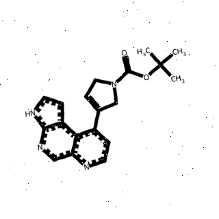 CC(C)(C)OC(=O)N1CC=C(c2ccnc3cnc4[nH]ccc4c23)C1